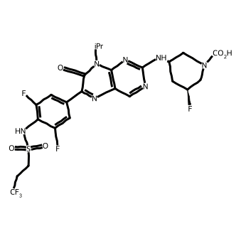 CC(C)n1c(=O)c(-c2cc(F)c(NS(=O)(=O)CCC(F)(F)F)c(F)c2)nc2cnc(N[C@H]3C[C@H](F)CN(C(=O)O)C3)nc21